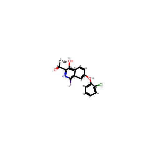 COC(=O)c1nc(I)c2cc(Oc3ccccc3Cl)ccc2c1O